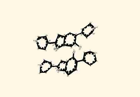 Clc1c(-c2ccncc2)ccc2[nH]c(-c3ccncc3)cc12.Clc1cc2[nH]c(-c3ccncc3)cc2cc1-c1ccncc1